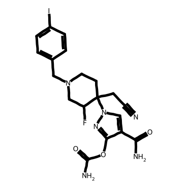 N#CCC1(n2cc(C(N)=O)c(OC(N)=O)n2)CCN(Cc2ccc(I)cc2)CC1F